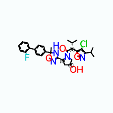 CC(C)c1noc([C@H](C(=O)N2C[C@H](O)C[C@H]2C2=NOC(C)(c3ccc(-c4ccccc4F)cc3)N2)C(C)C)c1Cl